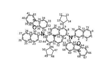 c1ccc2cc(N(c3cc(C4CCCC4)c4ccc5c(N(c6ccc7ccccc7c6)c6cccc7c6oc6ccccc67)cc(C6CCCC6)c6ccc3c4c65)c3cccc4c3oc3ccccc34)ccc2c1